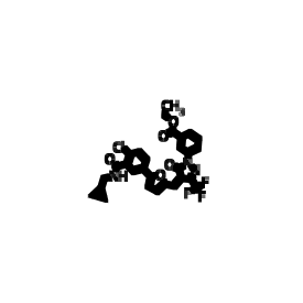 CCOC(=O)c1cccc(N2N=C(C(F)(F)F)C(=Cc3ccc(-c4ccc(Cl)c(C(=O)NCC5CC5)c4)o3)C2=O)c1